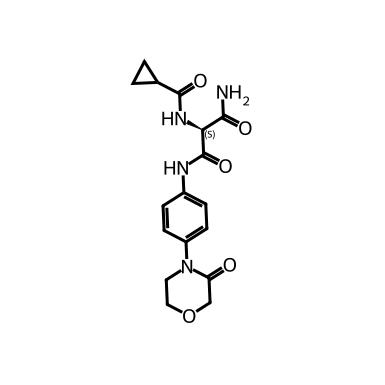 NC(=O)[C@H](NC(=O)C1CC1)C(=O)Nc1ccc(N2CCOCC2=O)cc1